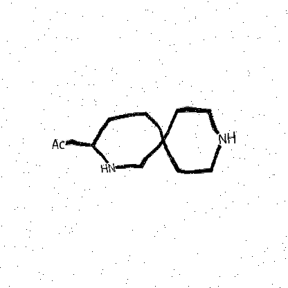 CC(=O)C1CCC2(CCNCC2)CN1